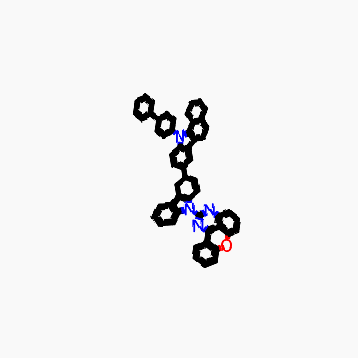 C1=CC(c2ccc3c(c2)c2ccc4ccccc4c2n3-c2ccc(-c3ccccc3)cc2)Cc2c1n(-c1nc3c4c(cccc4n1)Oc1ccccc1-3)c1ccccc21